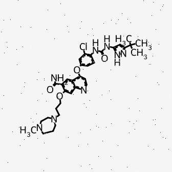 CN1CCCN(CCCOc2cc3nccc(Oc4ccc(NC(=O)Nc5cc(C(C)(C)C)n[nH]5)c(Cl)c4)c3cc2C(N)=O)CC1